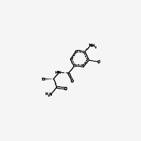 CC[C@H](NC(=O)c1ccc(N)c(Cl)c1)C(N)=O